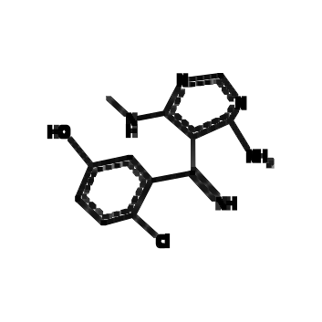 CNc1ncnc(N)c1C(=N)c1cc(O)ccc1Cl